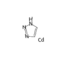 [Cd].c1c[nH]nn1